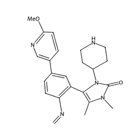 C=Nc1ccc(-c2ccc(OC)nc2)cc1-c1c(C)n(C)c(=O)n1C1CCNCC1